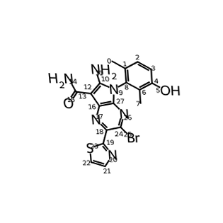 Cc1ccc(O)c(C)c1-n1c(N)c(C(N)=O)c2nc(-c3nccs3)c(Br)nc21